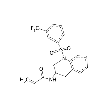 C=CC(=O)NC1Cc2ccccc2N(S(=O)(=O)c2cccc(C(F)(F)F)c2)C1